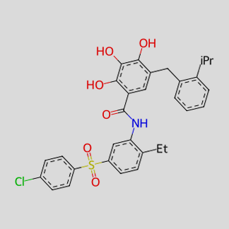 CCc1ccc(S(=O)(=O)c2ccc(Cl)cc2)cc1NC(=O)c1cc(Cc2ccccc2C(C)C)c(O)c(O)c1O